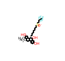 C=C1[C@H](O)CC2C3C(CC[C@]12C)c1ccc(O)cc1[C@@H](O)[C@H]3CCCCCCCCC[S+]([O-])CCCC(F)(F)C(F)(F)F